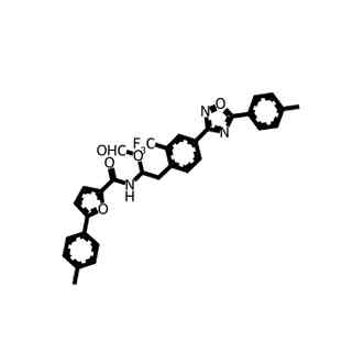 Cc1ccc(-c2ccc(C(=O)NC(Cc3ccc(-c4noc(-c5ccc(C)cc5)n4)cc3C(F)(F)F)OC=O)o2)cc1